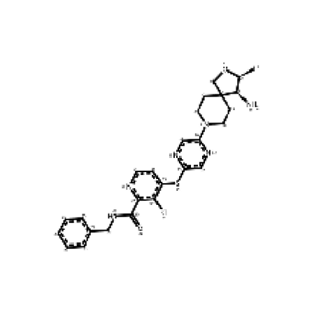 N[C@@H]1[C@H](I)OCC12CCN(c1cnc(Sc3ccnc(C(=O)NCc4ccccc4)c3Cl)cn1)CC2